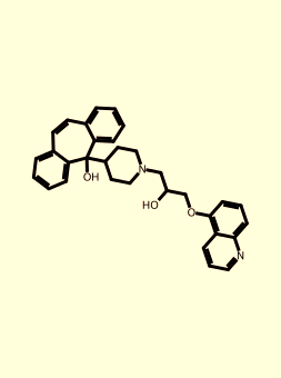 OC(COc1cccc2ncccc12)CN1CCC(C2(O)c3ccccc3C=Cc3ccccc32)CC1